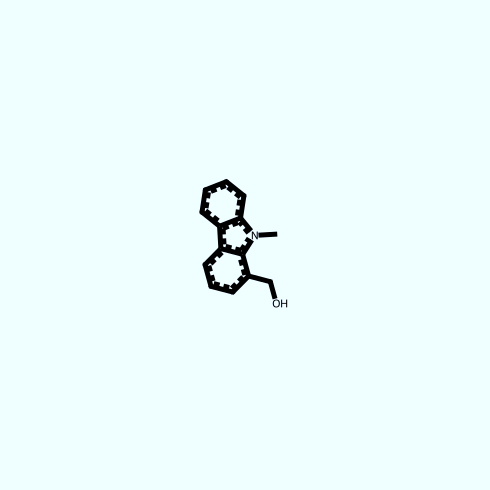 Cn1c2ccccc2c2cccc(CO)c21